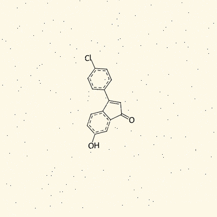 O=C1C=C(c2ccc(Cl)cc2)c2ccc(O)cc21